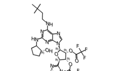 CCn1nnc([C@H]2O[C@@H](n3cnc4c(NCCC(C)(C)C)nc(NC5CCC[C@H]5O)nc43)[C@H](OC(=O)C(F)(F)F)[C@@H]2OC(=O)C(F)(F)F)n1